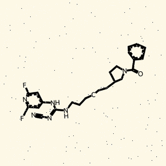 N#C/N=C(/NCCCCCCC1CCN(C(=O)c2ccccc2)C1)Nc1cc(F)nc(F)c1